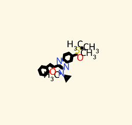 CN(c1nc2cc(C(=O)SC(C)(C)C)ccc2nc1-c1cc2ccccc2o1)C1CC1